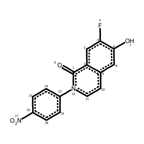 O=c1c2cc(F)c(O)cc2ccn1-c1ccc([N+](=O)[O-])cc1